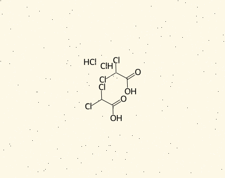 Cl.Cl.O=C(O)C(Cl)Cl.O=C(O)C(Cl)Cl